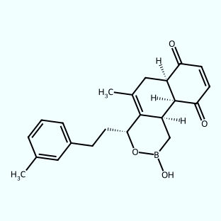 CC1=C2[C@@H](CCc3cccc(C)c3)OB(O)C[C@@H]2[C@@H]2C(=O)C=CC(=O)[C@@H]2C1